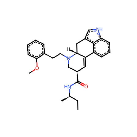 CC[C@@H](C)NC(=O)[C@@H]1C=C2c3cccc4[nH]cc(c34)C[C@H]2N(CCc2ccccc2OC)C1